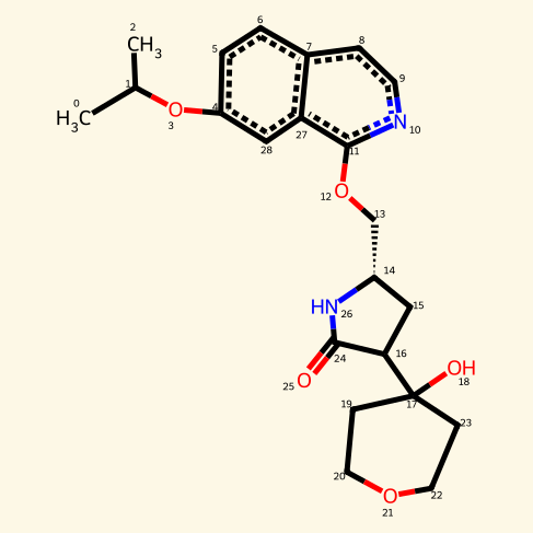 CC(C)Oc1ccc2ccnc(OC[C@@H]3CC(C4(O)CCOCC4)C(=O)N3)c2c1